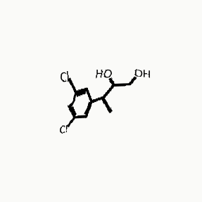 CC(c1cc(Cl)cc(Cl)c1)C(O)CO